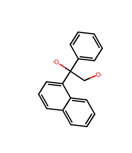 [O]CC([O])(c1ccccc1)c1cccc2ccccc12